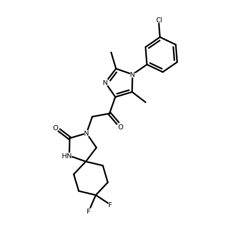 Cc1nc(C(=O)CN2CC3(CCC(F)(F)CC3)NC2=O)c(C)n1-c1cccc(Cl)c1